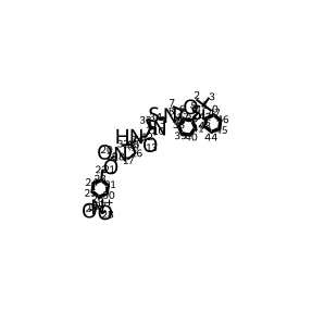 CC(C)(C)[Si](OC1CN(c2nc(C(=O)N[C@H]3CCN(C(=O)OCc4ccc([N+](=O)[O-])cc4)C3)cs2)C1)(c1ccccc1)c1ccccc1